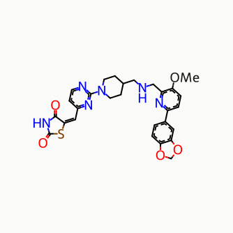 COc1ccc(-c2ccc3c(c2)OCO3)nc1CNCC1CCN(c2nccc(C=C3SC(=O)NC3=O)n2)CC1